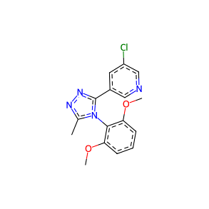 COc1cccc(OC)c1-n1c(C)nnc1-c1cncc(Cl)c1